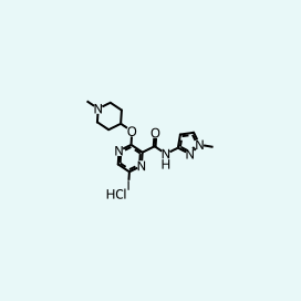 CN1CCC(Oc2ncc(I)nc2C(=O)Nc2ccn(C)n2)CC1.Cl